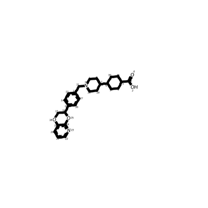 O=C(O)C1CCC(C2CCN(Cc3ccc(C4COc5cccnc5O4)cc3)CC2)CC1